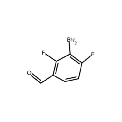 Bc1c(F)ccc(C=O)c1F